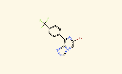 FC(F)(F)c1ccc(-c2nc(Br)cn3cnnc23)cc1